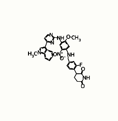 COc1cc(NCc2ccc(C3CCC(=O)NC3=O)c(F)c2)c([N+](=O)[O-])cc1Nc1nccc(-c2cn(C)c3ccccc23)n1